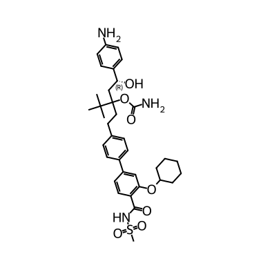 CC(C)(C)C(CCc1ccc(-c2ccc(C(=O)NS(C)(=O)=O)c(OC3CCCCC3)c2)cc1)(C[C@@H](O)c1ccc(N)cc1)OC(N)=O